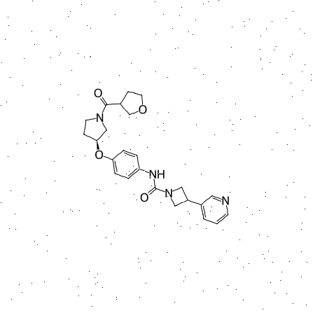 O=C(Nc1ccc(O[C@H]2CCN(C(=O)C3CCOC3)C2)cc1)N1CC(c2cccnc2)C1